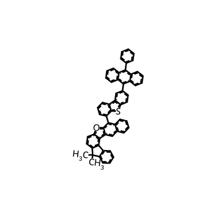 CC1(C)c2ccccc2-c2c1ccc1oc3c(-c4cccc5c4sc4ccc(-c6c7ccccc7c(-c7ccccc7)c7ccccc67)cc45)c4ccccc4cc3c21